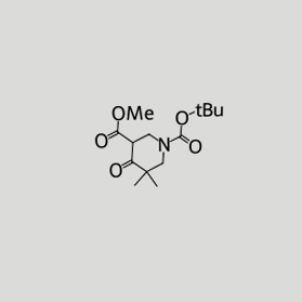 COC(=O)C1CN(C(=O)OC(C)(C)C)CC(C)(C)C1=O